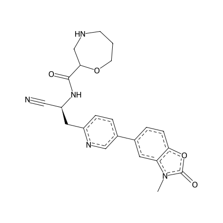 Cn1c(=O)oc2ccc(-c3ccc(C[C@@H](C#N)NC(=O)C4CNCCCO4)nc3)cc21